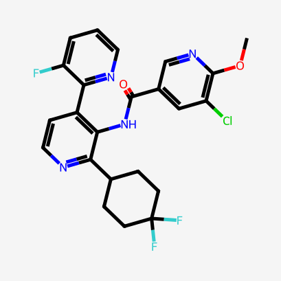 COc1ncc(C(=O)Nc2c(-c3ncccc3F)ccnc2C2CCC(F)(F)CC2)cc1Cl